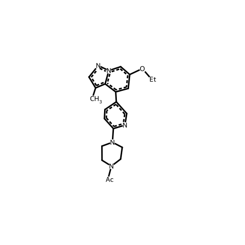 CCOc1cc(-c2ccc(N3CCN(C(C)=O)CC3)nc2)c2c(C)cnn2c1